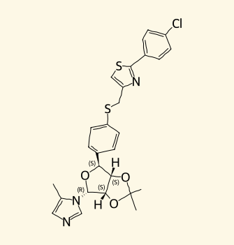 Cc1cncn1[C@@H]1O[C@@H](c2ccc(SCc3csc(-c4ccc(Cl)cc4)n3)cc2)[C@@H]2OC(C)(C)O[C@@H]21